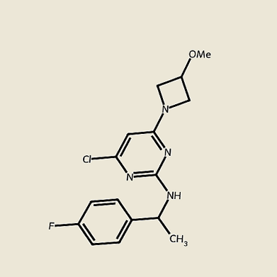 COC1CN(c2cc(Cl)nc(NC(C)c3ccc(F)cc3)n2)C1